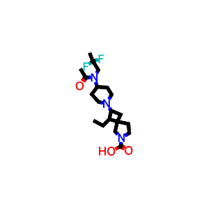 CCC1C(N2CCC(N(CC(C)(F)F)C(C)=O)CC2)CC12CCN(C(=O)O)C2